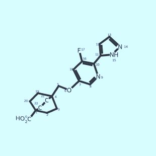 O=C(O)C12CCC(COc3cnc(-c4ccn[nH]4)c(F)c3)(CC1)CC2